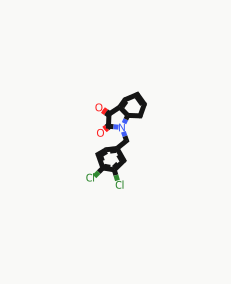 O=C1C(=O)N(Cc2ccc(Cl)c(Cl)c2)C2CC=CC=C12